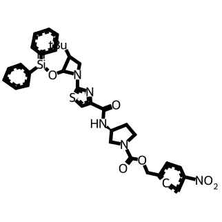 CC(C)(C)C1CN(c2nc(C(=O)N[C@H]3CCN(C(=O)OCc4ccc([N+](=O)[O-])cc4)C3)cs2)C1O[SiH](c1ccccc1)c1ccccc1